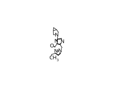 CCc1ccn(Cc2ncc(N3CC4CC4C3)nc2C=O)n1